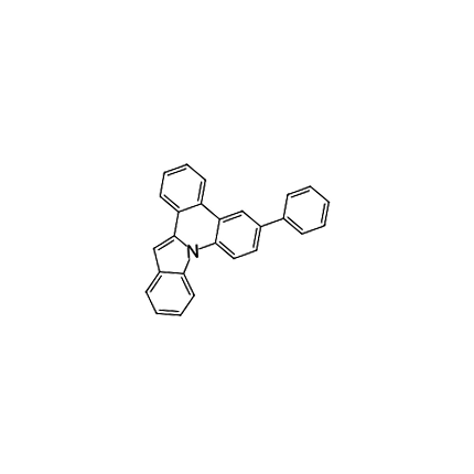 c1ccc(-c2ccc3c(c2)c2ccccc2c2cc4ccccc4n32)cc1